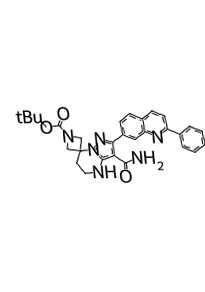 CC(C)(C)OC(=O)N1CC2(CCNc3c(C(N)=O)c(-c4ccc5ccc(-c6ccccc6)nc5c4)nn32)C1